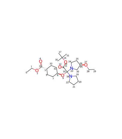 CCOC(=O)[C@H]1CC[C@H](OC(C(=O)OC(C)(C)C)(N2CCCC2)N2CC[C@@H](OCC)C2)CC1